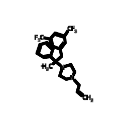 [CH2]C(Cc1cc(C(F)(F)F)cc(C(F)(F)F)c1)(c1ccccc1)N1CCN(CC=C)CC1